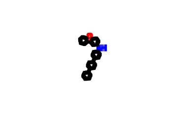 c1ccc(-c2ccc(-c3ccc(Nc4ccc5oc6ccccc6c5c4)cc3)cc2)cc1